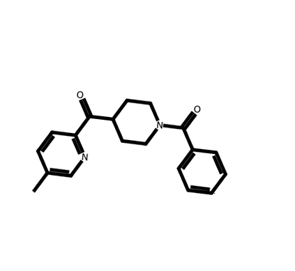 Cc1ccc(C(=O)C2CCN(C(=O)c3cc[c]cc3)CC2)nc1